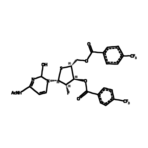 CC(=O)NC1=NC(O)N([C@@H]2S[C@H](COC(=O)c3ccc(C(F)(F)F)cc3)[C@@H](OC(=O)c3ccc(C(F)(F)F)cc3)[C@@H]2F)C=C1